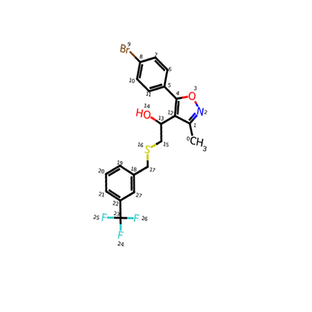 Cc1noc(-c2ccc(Br)cc2)c1C(O)CSCc1cccc(C(F)(F)F)c1